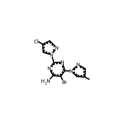 Cc1cnn(-c2nc(-n3cc(Cl)cn3)nc(N)c2Br)c1